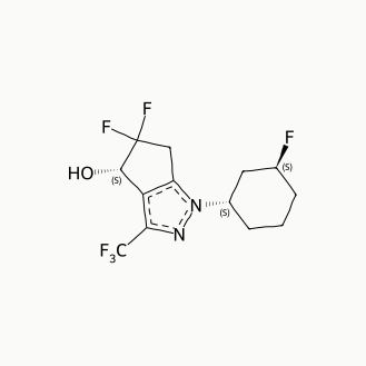 O[C@H]1c2c(C(F)(F)F)nn([C@H]3CCC[C@H](F)C3)c2CC1(F)F